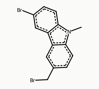 Cn1c2ccc(Br)cc2c2cc(CBr)ccc21